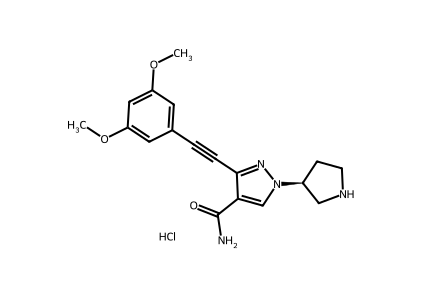 COc1cc(C#Cc2nn([C@H]3CCNC3)cc2C(N)=O)cc(OC)c1.Cl